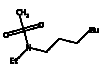 CCC(C)CCCN(CC)S(C)(=O)=O